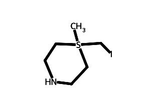 CS1(CI)CCNCC1